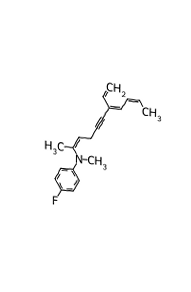 C=C/C(C#CC/C=C(/C)N(C)c1ccc(F)cc1)=C\C=C/C